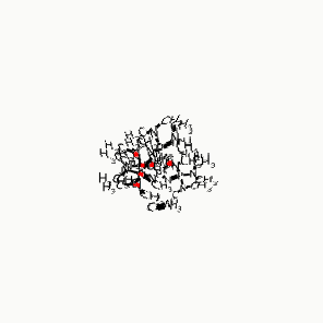 CN(C)P(=N[P+](N=P(N(C)C)(N(C)C)N(C)C)(N=P(N(C)C)(N(C)C)N(C)C)N=P(N(C)C)(N(C)C)N(C)C)(N(C)C)N(C)C.[C-]#N